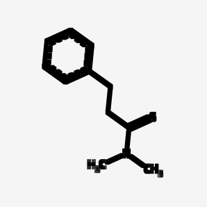 CN(C)C(=S)CCc1ccccc1